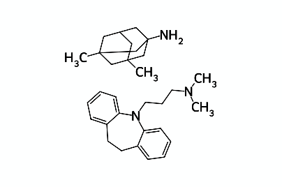 CC12CC3CC(C)(C1)CC(N)(C3)C2.CN(C)CCCN1c2ccccc2CCc2ccccc21